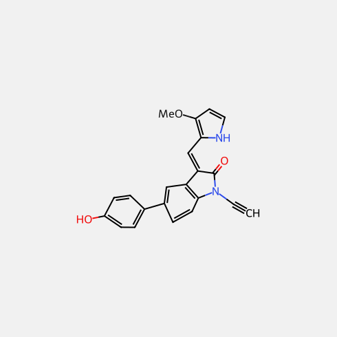 C#CN1C(=O)C(=Cc2[nH]ccc2OC)c2cc(-c3ccc(O)cc3)ccc21